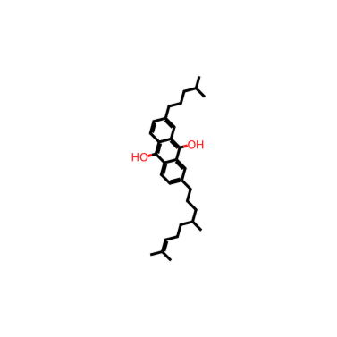 CC(C)=CCCC(C)CCCc1ccc2c(O)c3ccc(CCCC(C)C)cc3c(O)c2c1